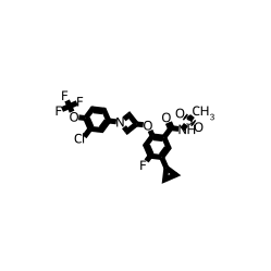 CS(=O)(=O)NC(=O)c1cc(C2CC2)c(F)cc1OC1CN(c2ccc(OC(F)(F)F)c(Cl)c2)C1